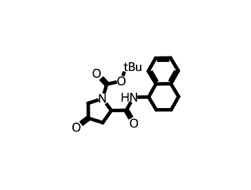 CC(C)(C)OC(=O)N1CC(=O)CC1C(=O)NC1CCCc2ccccc21